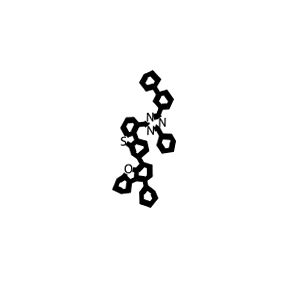 c1ccc(-c2cccc(-c3nc(-c4ccccc4)nc(-c4cccc5sc6cc(-c7ccc(-c8ccccc8)c8c7oc7ccccc78)ccc6c45)n3)c2)cc1